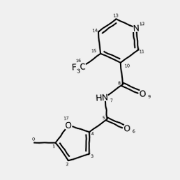 Cc1ccc(C(=O)NC(=O)c2cnccc2C(F)(F)F)o1